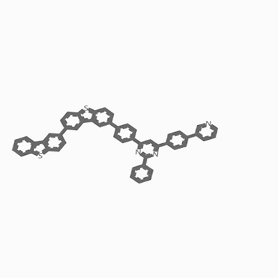 c1ccc(-c2nc(-c3ccc(-c4cccnc4)cc3)cc(-c3ccc(-c4ccc5sc6ccc(-c7ccc8sc9ccccc9c8c7)cc6c5c4)cc3)n2)cc1